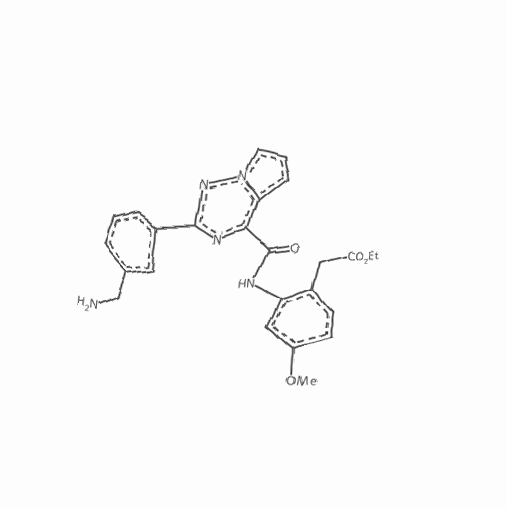 CCOC(=O)Cc1ccc(OC)cc1NC(=O)c1nc(-c2cccc(CN)c2)nn2cccc12